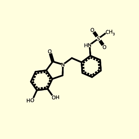 CS(=O)(=O)Nc1ccccc1CN1Cc2c(ccc(O)c2O)C1=O